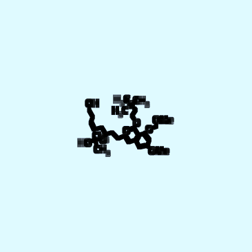 COCOc1cc(OC)cc(/C=C/CCC(C/C=C\CCO)OC(C)(C)O)c1C(=O)OCC[Si](C)(C)C